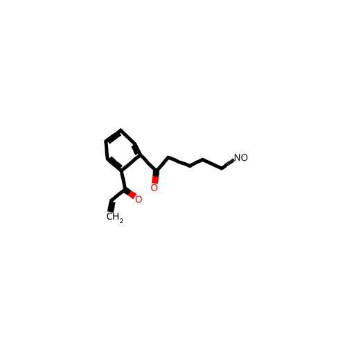 C=CC(=O)c1ccccc1C(=O)CCCCN=O